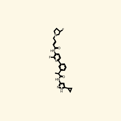 CC(C(=O)Nc1cc(C2CC2)[nH]n1)c1cccc(-c2ccc(NC(=O)C=CCN3CCC(F)C3)c(F)n2)c1